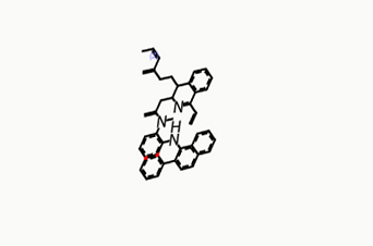 C=CC1=NC(CC(=C)N(C)c2ccccc2Nc2c(-c3ccccc3)ccc3ccccc23)C(CCC(=C)/C=C\C)c2ccccc21